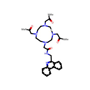 CNC(=O)CN1CCN(CC(=O)NC)CCN(CC(=O)NCc2nc3ccccc3c3ccccc23)CCN(CC(=O)NC)CC1